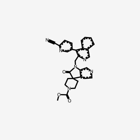 COC(=O)N1CCC2(CC1)C(=O)N(Cc1ncc3ccccc3c1-c1ccc(C#N)nc1)c1cnccc12